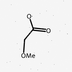 [CH2]OCC([O])=O